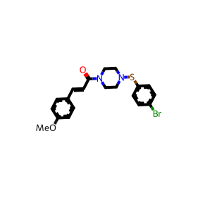 COc1ccc(/C=C/C(=O)N2CCN(Sc3ccc(Br)cc3)CC2)cc1